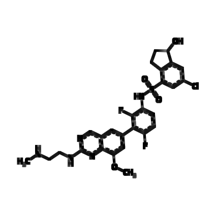 CNCCNc1ncc2cc(-c3c(F)ccc(NS(=O)(=O)c4cc(Cl)cc5c4CCC5O)c3F)cc(OC)c2n1